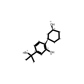 CCCCC(C)(C)c1ccc([C@@H]2CCC[C@H](O)C2)c(O)c1